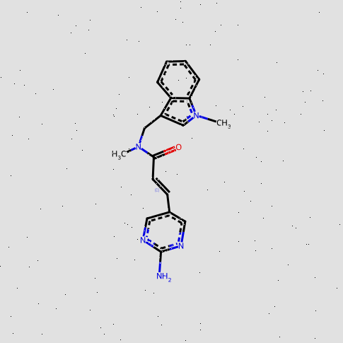 CN(Cc1cn(C)c2ccccc12)C(=O)/C=C/c1cnc(N)nc1